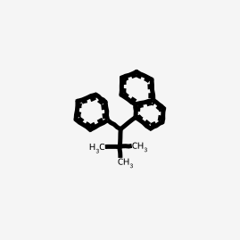 CC(C)(C)C(c1ccccc1)c1cccc2ccccc12